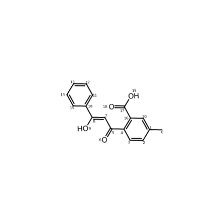 Cc1ccc(C(=O)C=C(O)c2ccccc2)c(C(=O)O)c1